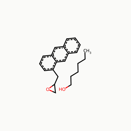 CCCCCCO.c1ccc2cc3c(CC4CO4)cccc3cc2c1